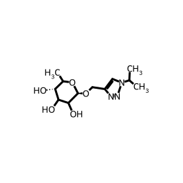 CC1O[C@@H](OCc2cn(C(C)C)nn2)C(O)C(O)[C@@H]1O